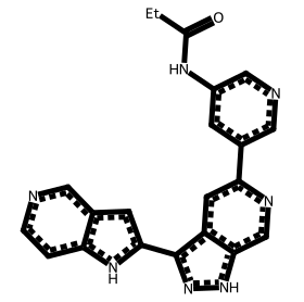 CCC(=O)Nc1cncc(-c2cc3c(-c4cc5cnccc5[nH]4)n[nH]c3cn2)c1